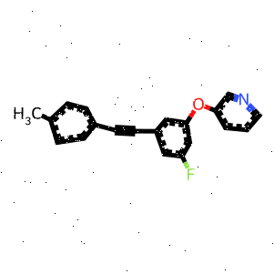 Cc1ccc(C#Cc2cc(F)cc(Oc3cccnc3)c2)cc1